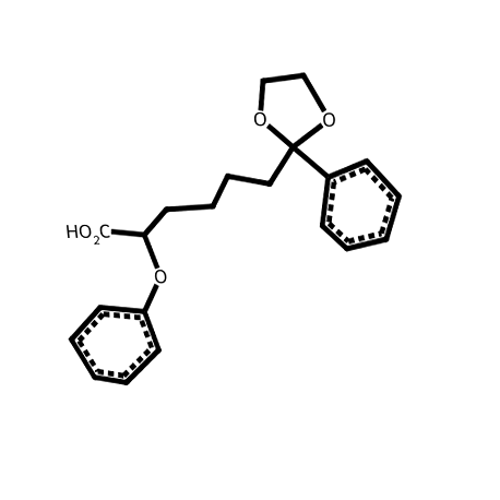 O=C(O)C(CCCCC1(c2ccccc2)OCCO1)Oc1ccccc1